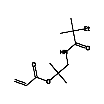 C=CC(=O)OC(C)(C)CNC(=O)C(C)(C)CC